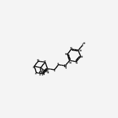 CC1(C)C2CC=C(CCOc3ccc(I)cc3)C1C2